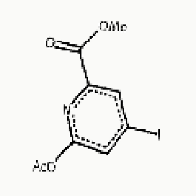 COC(=O)c1cc(I)cc(OC(C)=O)n1